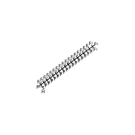 FC(F)(F)C(F)(F)C(F)(F)C(F)(F)C(F)(F)C(F)(F)C(F)(F)C(F)(F)C(F)(F)C(F)(F)C(F)(F)C(F)(F)C(F)(F)C(F)(F)C(F)(F)C(F)(F)C(F)(F)C(F)(F)S